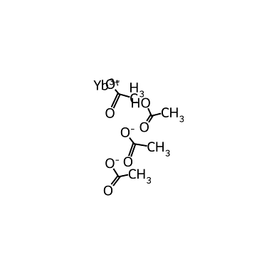 CC(=O)O.CC(=O)[O-].CC(=O)[O-].CC(=O)[O-].[Yb+3]